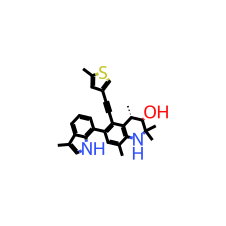 Cc1cc(C#Cc2c(-c3cccc4c(C)c[nH]c34)cc(C)c3c2[C@H](C)C(O)C(C)(C)N3)cs1